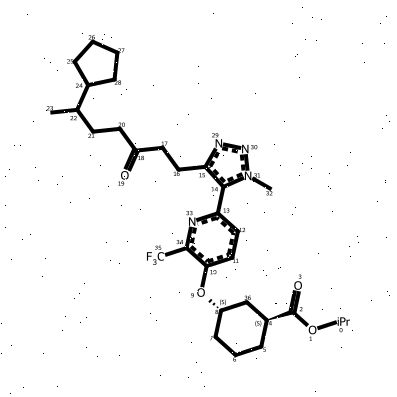 CC(C)OC(=O)[C@H]1CCC[C@H](Oc2ccc(-c3c(CCC(=O)CCC(C)C4CCCC4)nnn3C)nc2C(F)(F)F)C1